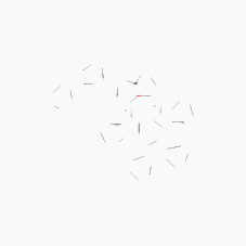 c1ccc(-c2cccc(-c3cccc(-n4c5ccccc5c5c6c7ccccc7c7ccccc7c6c6c7ccccc7n(-c7ccccc7)c6c54)c3)c2)cc1